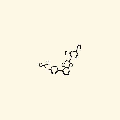 O=C(Cl)Cc1ccc(-c2cccc3c2OCC(c2ccc(Cl)cc2F)O3)cc1